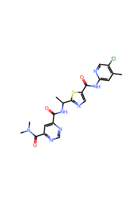 Cc1cc(NC(=O)c2cnc(C(C)NC(=O)c3cc(C(=O)N(C)C)ncn3)s2)ncc1Cl